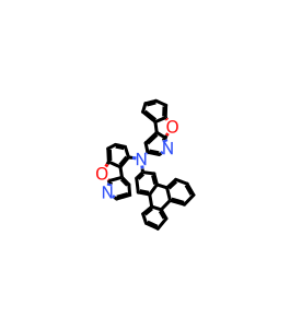 c1ccc2c(c1)oc1ncc(N(c3ccc4c5ccccc5c5ccccc5c4c3)c3cccc4oc5ncccc5c34)cc12